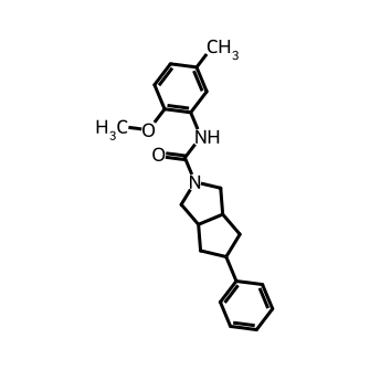 COc1ccc(C)cc1NC(=O)N1CC2CC(c3ccccc3)CC2C1